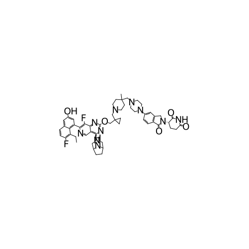 CCc1c(F)ccc2cc(O)cc(-c3ncc4c(N5CC6CCC(C5)N6)nc(OCC5(CN6CCC(C)(CN7CCN(c8ccc9c(c8)CN([C@H]8CCC(=O)NC8=O)C9=O)CC7)CC6)CC5)nc4c3F)c12